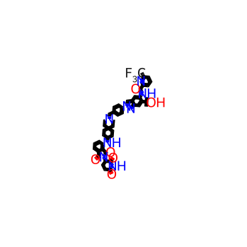 CC(C)(O)c1cc2nn(-c3ccc(CN4CCC5(CCC(Nc6cccc7c6C(=O)N(C6CCC(=O)NC6=O)C7=O)CC5)CC4)cc3)cc2cc1NC(=O)c1cccc(C(F)(F)F)n1